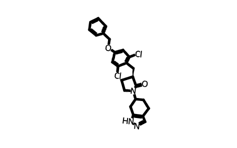 O=C1[C@H](Cc2c(Cl)cc(OCc3ccccc3)cc2Cl)CCN1C1CCc2cn[nH]c2C1